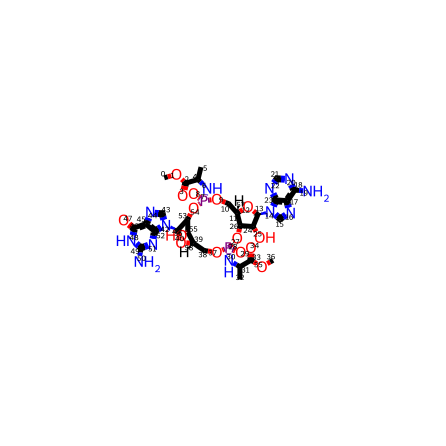 COC(=O)C(C)NP1(=O)OC[C@H]2O[C@@H](n3cnc4c(N)ncnc43)C(O)C2OP(=O)(NC(C)C(=O)OC)OC[C@H]2O[C@@H](n3cnc4c(=O)[nH]c(N)nc43)C(O1)C2O